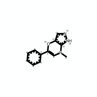 CN1C=C(c2ccccc2)Oc2cn[nH]c21